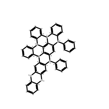 c1ccc(N2c3ccccc3B3c4ccccc4N4c5ccccc5B5c6cc7c(cc6N(c6ccccc6)c6cc2c3c4c65)Oc2ccccc2O7)cc1